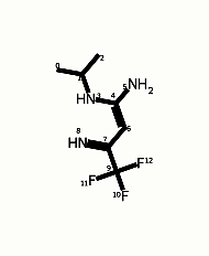 CC(C)N/C(N)=C\C(=N)C(F)(F)F